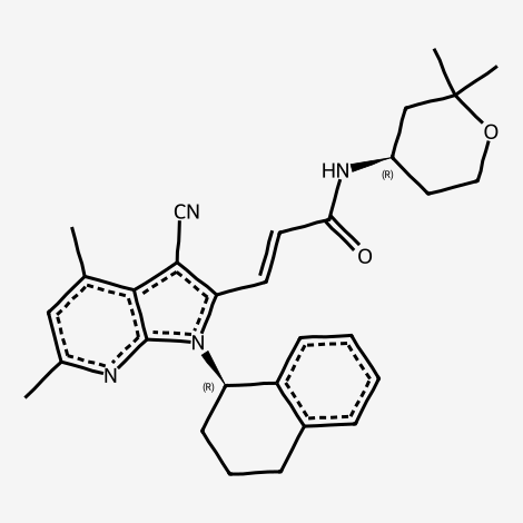 Cc1cc(C)c2c(C#N)c(C=CC(=O)N[C@@H]3CCOC(C)(C)C3)n([C@@H]3CCCc4ccccc43)c2n1